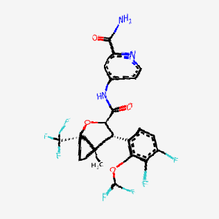 C[C@@]12C[C@@]1(C(F)(F)F)O[C@@H](C(=O)Nc1ccnc(C(N)=O)c1)[C@@H]2c1ccc(F)c(F)c1OC(F)F